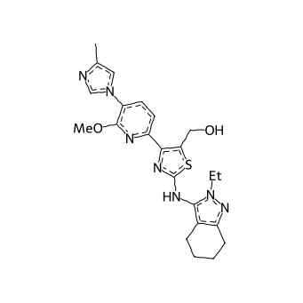 CCn1nc2c(c1Nc1nc(-c3ccc(-n4cnc(C)c4)c(OC)n3)c(CO)s1)CCCC2